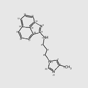 Cc1cn(CCCNC2=Nc3cccc4cccc2c34)cn1